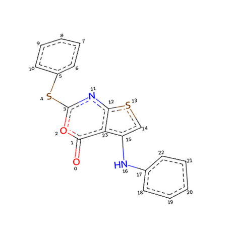 O=c1oc(Sc2ccccc2)nc2scc(Nc3ccccc3)c12